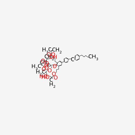 C=C(C)C(=O)OCCCc1cc(-c2ccc(CCc3ccc(CCCCC)cc3)cc2)cc(CCCOC(=O)C(=C)CO)c1OCC(COC(=O)C(=C)C)(COC(=O)C(=C)CO)COC(=O)C(=C)CO